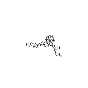 CCCCC(O)COc1ccc(-c2nc(OC)nc(-c3ccc(OCC(O)CCCC)cc3O)n2)c(O)c1